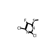 CSc1nc(Cl)nc(Cl)c1F